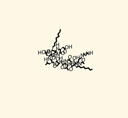 CCCCCCCCC[C@H](NC(=O)[C@H](CC(=O)O)NC(=O)[C@H](CC(C)C)N1OC[C@H](NC(=O)[C@H](CC(C)C)NC(=O)[C@H](CO)NC(=O)[C@H](CCCCCCCC)NC(CCN=[N+]=N)NC(C)=O)C1=O)C(=O)N[C@@H](CC(=O)O)C(N)=O